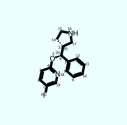 Fc1ccc(O[C@H](c2ccccc2)[C@@H]2CCNC2)nc1